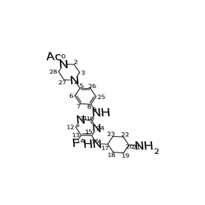 CC(=O)N1CCN(c2ccc(Nc3ncc(F)c(NC4CCC(N)CC4)n3)cc2)CC1